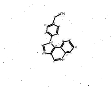 N#CCc1ccc(-n2cnc3cnc4ccccc4c32)cc1